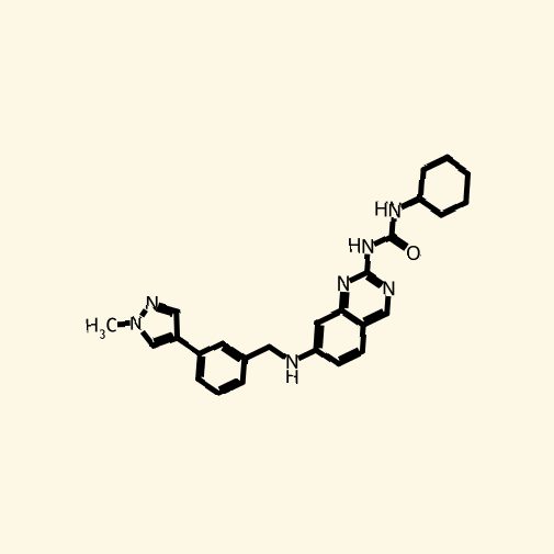 Cn1cc(-c2cccc(CNc3ccc4cnc(NC(=O)NC5CCCCC5)nc4c3)c2)cn1